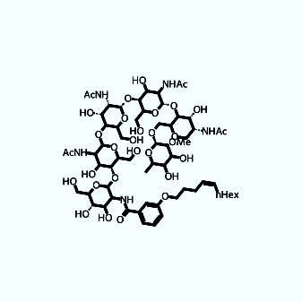 CCCCCC/C=C\CCCOc1cccc(C(=O)NC2C(O[C@@H]3C(CO)OC(OC4C(CO)O[C@@H](O[C@@H]5C(CO)O[C@@H](OC6C(CO[C@@H]7OC(C)C(O)C(O)C7OC)OC[C@@H](NC(C)=O)[C@H]6O)C(NC(C)=O)C5O)[C@@H](NC(C)=O)[C@H]4O)C(NC(C)=O)C3O)OC(CO)[C@@H](O)C2O)c1